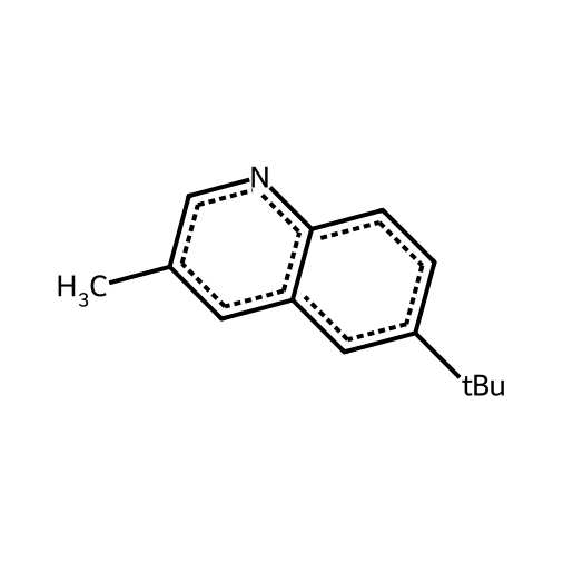 Cc1cnc2ccc(C(C)(C)C)cc2c1